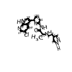 C[C@@H](NCCc1cn[nH]c1)C(=O)Nc1cncc(-c2c[nH]c3ncc(Cl)cc23)n1